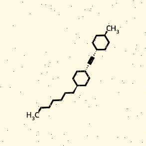 CCCCCCC[C@H]1CC[C@H](C#C[C@H]2CC[C@H](C)CC2)CC1